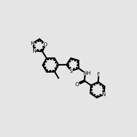 Cc1ccc(-c2nnco2)cc1-c1ccc(NC(=O)c2ccncc2F)s1